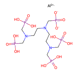 O=P([O-])([O-])CN(CCN(CP(=O)(O)O)CP(=O)(O)O)CCN(CP(=O)(O)O)CP(=O)(O)O.[Al+2]